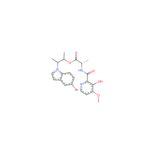 COc1ccnc(C(=O)N[C@@H](C)C(=O)OC(C)C(C)n2ccc3cc(Br)ccc32)c1O